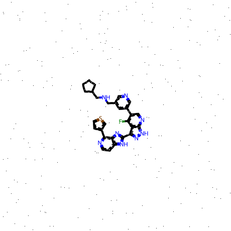 Fc1c(-c2cncc(CNCC3CCCC3)c2)cnc2[nH]nc(-c3nc4c(-c5ccsc5)nccc4[nH]3)c12